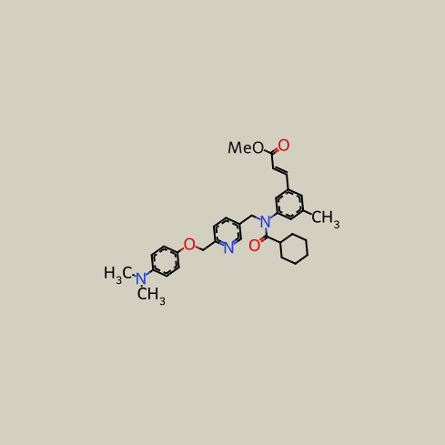 COC(=O)/C=C/c1cc(C)cc(N(Cc2ccc(COc3ccc(N(C)C)cc3)nc2)C(=O)C2CCCCC2)c1